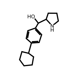 OC(c1ccc(C2CCCCC2)cc1)C1CCCN1